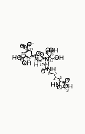 CN[C@@H](CCCCNC(=O)CC[C@H](NC(=O)c1cc(B(O)O)cc([N+](=O)[O-])c1)C(=O)NC(CO)(CO)CO)C(=O)O